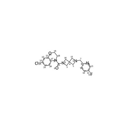 O=C(N1CC2(CN(Cc3ccc(F)cn3)C2)C1)N1CCOc2cc(Cl)ccc21